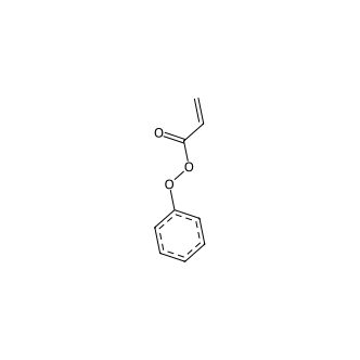 C=CC(=O)OOc1ccccc1